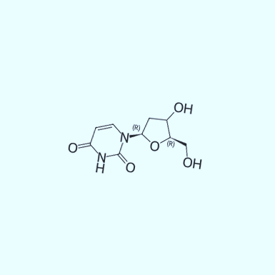 O=c1ccn([C@H]2CC(O)[C@@H](CO)O2)c(=O)[nH]1